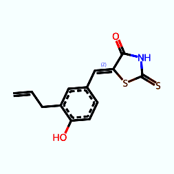 C=CCc1cc(/C=C2\SC(=S)NC2=O)ccc1O